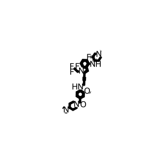 COc1cc(C(=O)N2CCC(N(C)C)CC2)ccc1NCC#Cc1cc2c(N[C@@H]3CCN(C)C[C@@H]3F)cccc2n1CC(F)(F)F